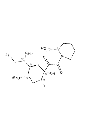 CO[C@@H](CC(C)C)[C@H]1O[C@@](O)(C(=O)C(=O)N2CCCC[C@H]2C(=O)O)[C@H](C)C[C@@H]1OC